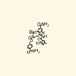 CCn1nc(C)cc1C(=O)Nc1nc2cc(C(N)=O)cc(OC)c2n1CCCNC(=O)OCc1ccc(C(N)=O)cc1